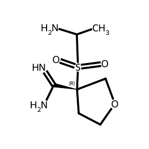 CC(N)S(=O)(=O)[C@@]1(C(=N)N)CCOC1